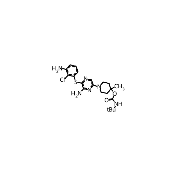 CC(C)(C)NC(=O)OC1(C)CCN(c2cnc(Sc3cccc(N)c3Cl)c(N)n2)CC1